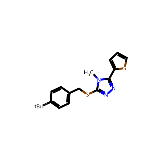 Cn1c(SCc2ccc(C(C)(C)C)cc2)nnc1-c1cccs1